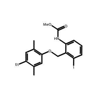 CCc1cc(C)c(OCc2c(I)cccc2NC(=O)OC)cc1C